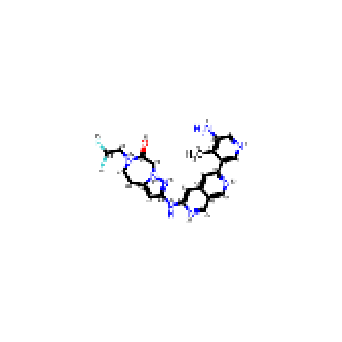 Cc1c(N)cncc1-c1cc2cc(Nc3cc4n(n3)CC(=O)N(CC(F)F)CC4)ncc2cn1